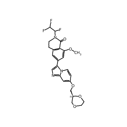 COc1cc(-c2cnc3cc(OC[C@@H]4COCCO4)ccn23)cc2c1C(=O)N(C(F)C(F)F)CC2